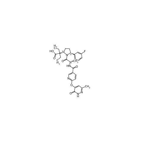 CCC(CC)(C(=O)O)[C@H]1CC[C@@H](c2cccc(F)c2)N1C(=O)[C@@H](C)NC(=O)c1ccc(Oc2cc(C)n[nH]c2=O)nc1